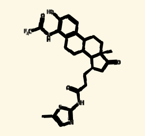 Cc1cnc(NC(=O)CC[C@@H]2CC(=O)[C@@]3(C)CCC4c5ccc(O)c(NC(=O)C(F)(F)F)c5CCC4C23)s1